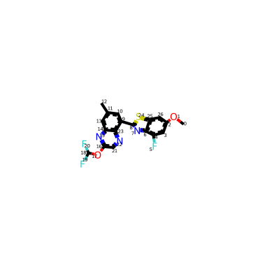 COc1cc(F)c2nc(-c3cc(C)cc4nc(OC(F)F)cnc34)sc2c1